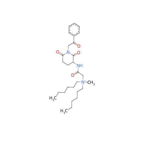 CCCCCC[N+](C)(CCCCCC)CC(=O)NC1CCC(=O)N(CC(=O)c2ccccc2)C1=O